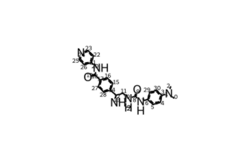 CN(C)c1ccc(NC(=O)NCC(N)c2ccc(C(=O)Nc3ccncc3)cc2)cc1